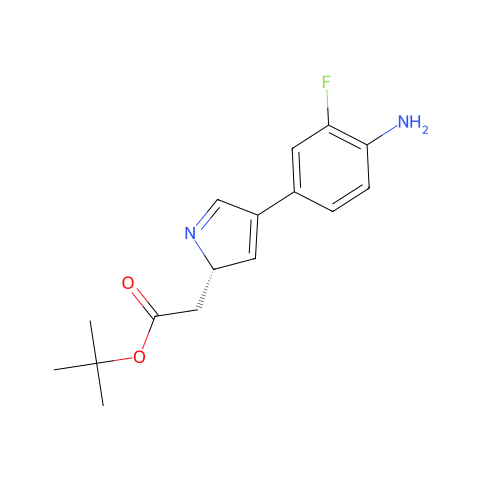 CC(C)(C)OC(=O)C[C@H]1C=C(c2ccc(N)c(F)c2)C=N1